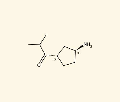 CC(C)C(=O)[C@H]1CC[C@H](N)C1